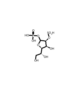 O=P(O)(O)OC1O[C@H]([C@H](O)CO)[C@H](O)[C@@H]1OS(=O)(=O)O